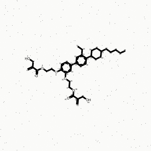 C=C(CO)C(=O)OCCOc1ccc(-c2ccc(C3CCC(CCCCC)CC3)c(CC)c2)cc1OCCOC(=O)C(=C)CO